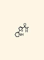 CNC(=O)C1=CCC([C@@H]2CCCCN2)S1